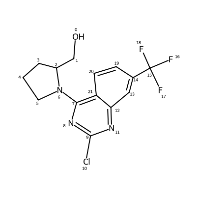 OCC1CCCN1c1nc(Cl)nc2cc(C(F)(F)F)ccc12